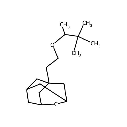 CC(OCCC12CC3CC(CC(C3)C1)C2)C(C)(C)C